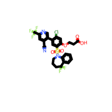 N#Cc1cc(C(F)(F)F)ncc1-c1cc(S(=O)(=O)N2CCCC(F)(F)c3ccccc32)c(OCCC(=O)O)cc1Cl